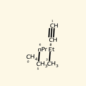 C.C#C.CCC.CCCC